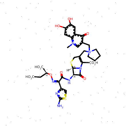 Cn1cc(C[N+]2(CC3=C(C(=O)O)N4C(=O)[C@@H](NC(=O)/C(=N\O[C@@H](CC(=O)O)C(=O)O)c5csc(N)n5)[C@H]4SC3)CCCC2)c(=O)c2cc(O)c(O)cc21